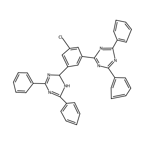 Clc1cc(-c2nc(-c3ccccc3)nc(-c3ccccc3)n2)cc(C2N=C(c3ccccc3)N=C(c3ccccc3)N2)c1